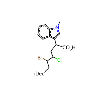 CCCCCCCCCCCC(Br)C(Cl)CC(C(=O)O)c1cn(C)c2ccccc12